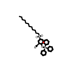 CCCCCCCCCCCCS(=O)(=O)c1ccc(N=P(c2ccccc2)(c2ccccc2)c2ccccc2)c(C#N)c1